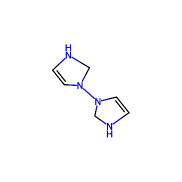 C1=CN(N2C=CNC2)CN1